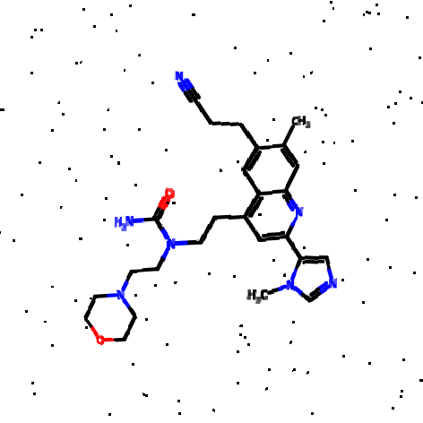 Cc1cc2nc(-c3cncn3C)cc(CCN(CCN3CCOCC3)C(N)=O)c2cc1CCC#N